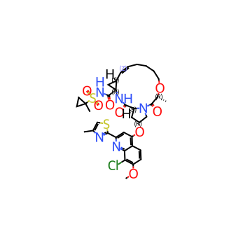 COc1ccc2c(O[C@@H]3C[C@H]4C(=O)N[C@]5(C(=O)NS(=O)(=O)C6(C)CC6)C[C@H]5/C=C\CCCCO[C@H](C)C(=O)N4C3)cc(-c3nc(C)cs3)nc2c1Cl